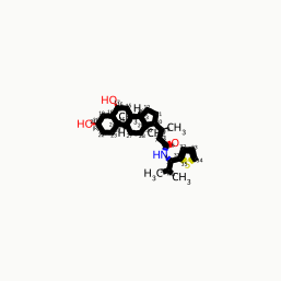 CC(C)C(NC(=O)C[C@@H](C)C1CC[C@H]2C3C[C@H](O)C4C[C@H](O)CCC4(C)[C@H]3CCC12C)c1cccs1